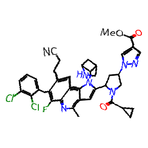 COC(=O)c1cnn(C2CC(c3cc4c(C)nc5c(F)c(-c6cccc(Cl)c6Cl)c(CCC#N)cc5c4n3C3C4CNC3C4)N(C(=O)C3CC3)C2)c1